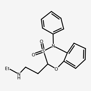 CCNCCC1Oc2ccccc2N(c2ccccc2)S1(=O)=O